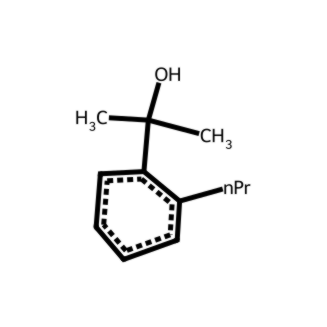 CCCc1ccccc1C(C)(C)O